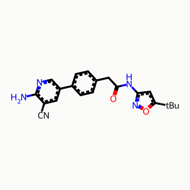 CC(C)(C)c1cc(NC(=O)Cc2ccc(-c3cnc(N)c(C#N)c3)cc2)no1